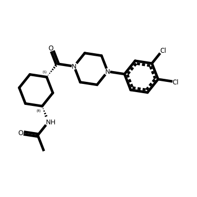 CC(=O)N[C@@H]1CCC[C@H](C(=O)N2CCN(c3ccc(Cl)c(Cl)c3)CC2)C1